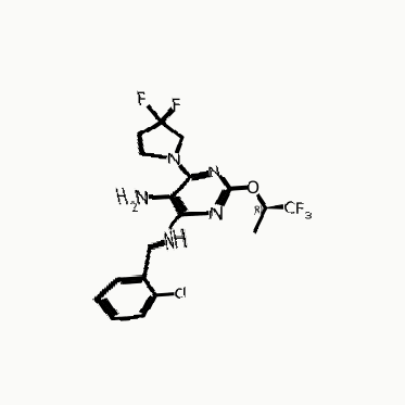 C[C@@H](Oc1nc(NCc2ccccc2Cl)c(N)c(N2CCC(F)(F)C2)n1)C(F)(F)F